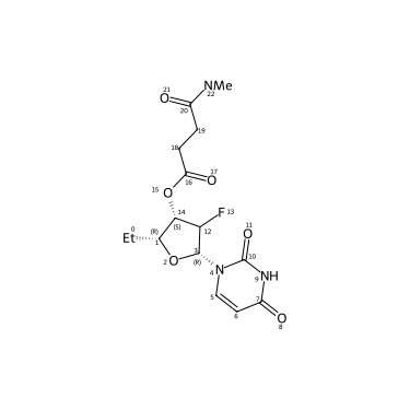 CC[C@H]1O[C@@H](n2ccc(=O)[nH]c2=O)C(F)[C@H]1OC(=O)CCC(=O)NC